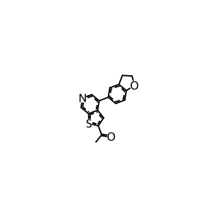 CC(=O)c1cc2c(-c3ccc4c(c3)CCO4)cncc2s1